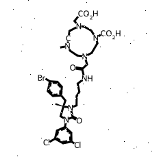 CN1CCN(CC(=O)O)CCN(C(=O)O)CCN(CC(=O)NCCCCN2C(=O)N(c3cc(Cl)cc(Cl)c3)C[C@]2(C)Cc2ccc(Br)cc2)CC1